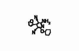 N#Cc1c(N)nc(OC2CCCCC2)c(C#N)c1-c1ccco1